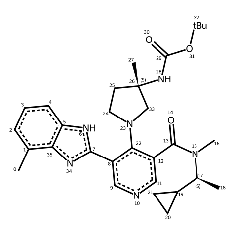 Cc1cccc2[nH]c(-c3cncc(C(=O)N(C)[C@@H](C)C4CC4)c3N3CC[C@](C)(NC(=O)OC(C)(C)C)C3)nc12